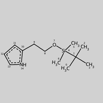 CC(C)(C)[Si](C)(C)OCCc1ccc[nH]1